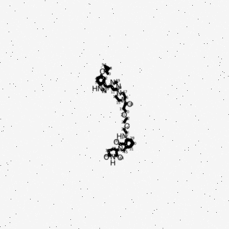 CC1(Oc2ccc3[nH]nc(-c4cc(N5CCN(C(=O)CCOCCOCCNc6cccc7c6C(=O)N(C6CCC(=O)NC6=O)C7)CC5)ncn4)c3c2)CC1